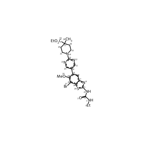 CCNC(=O)Nc1nc2cc(-c3cnc(N4CCC(C)(C(=O)OCC)CC4)nc3)c(OC)c(Br)c2s1